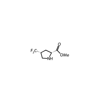 COC(=O)[C@H]1C[C@@H](C(F)(F)F)CN1